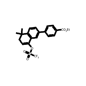 CCOC(=O)c1ccc(-c2ccc3c(c2)C(OS(=O)(=O)C(F)(F)F)=CCC3(C)C)cc1